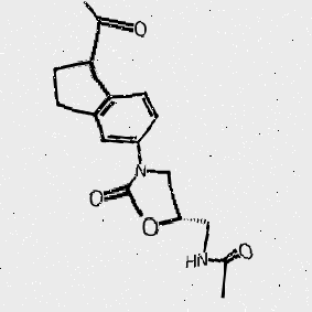 CC(=O)NC[C@H]1CN(c2ccc3c(c2)CCC3C(C)=O)C(=O)O1